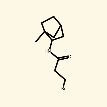 CC12CCC(CC1NC(=O)CCBr)C2